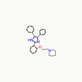 c1ccc(-c2nc(-c3ccccc3OCCN3CCCCC3)[nH]c2-c2ccccc2)cc1